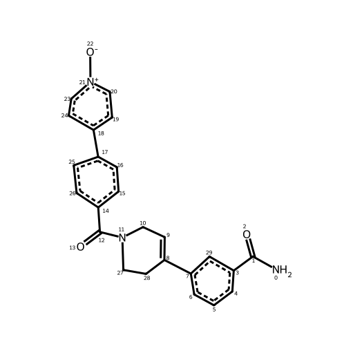 NC(=O)c1cccc(C2=CCN(C(=O)c3ccc(-c4cc[n+]([O-])cc4)cc3)CC2)c1